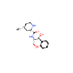 CCC[C@@H]1CCN[C@H](C(=O)N[C@@H](CO)[C@@H](O)c2ccccc2)C1